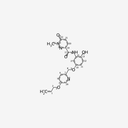 C=CCOc1ccc(COc2ccc(O)c(NC(=O)c3ccc(=O)n(C)n3)c2)nc1